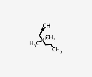 C#CC[N+](C)(C)CCC